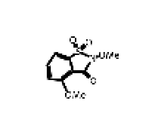 COc1cccc2c1C(=O)N(OC)S2(=O)=O